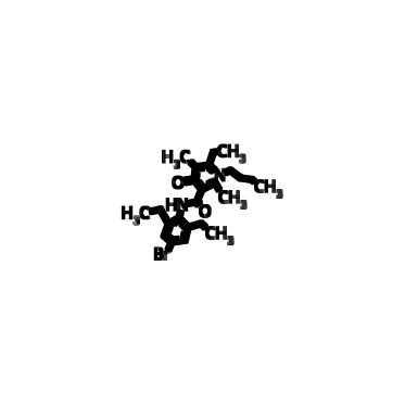 CCCCn1c(C)c(C(=O)Nc2c(CC)cc(Br)cc2CC)c(=O)c(C)c1CC